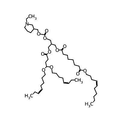 CC/C=C\CCCCOC(CCC(=O)OCC(COC(=O)CCCCCCC(=O)OCCC/C=C\CCCCC)COC(=O)OCC1CCCN(CC)C1)OCCCC/C=C\CC